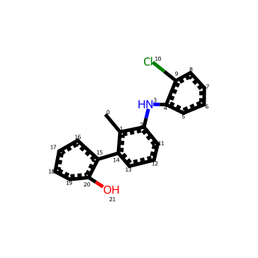 Cc1c(Nc2ccccc2Cl)cccc1-c1ccccc1O